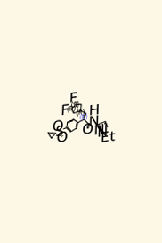 CCn1ccc(NC(=O)/C(=C/[C@H]2C[C@@H](F)[C@@H](F)C2)c2ccc(S(=O)(=O)C3CC3)cc2)n1